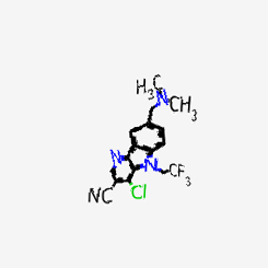 CN(C)Cc1ccc2c(c1)c1ncc(C#N)c(Cl)c1n2CC(F)(F)F